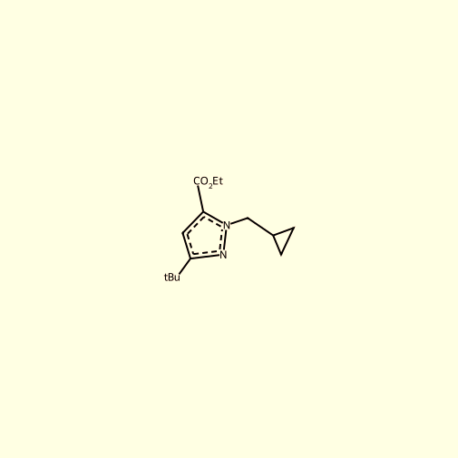 CCOC(=O)c1cc(C(C)(C)C)nn1CC1CC1